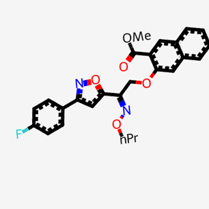 CCCON=C(COc1cc2ccccc2cc1C(=O)OC)c1cc(-c2ccc(F)cc2)no1